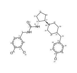 O=C(NCc1ccc(Cl)c(Cl)c1)N[C@@H]1CCC[C@H]1N1CCC(Cc2ccc(Cl)cc2)CC1